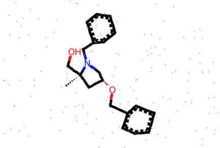 C[C@@]1(CO)C[C@@H](OCc2ccccc2)CN1Cc1ccccc1